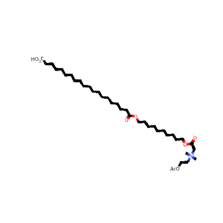 CC(=O)OCC[N+](C)(C)CC(=O)OCCCCCCCCCCOC(=O)CCCCCCCCCCCCCCCCCCC(=O)O